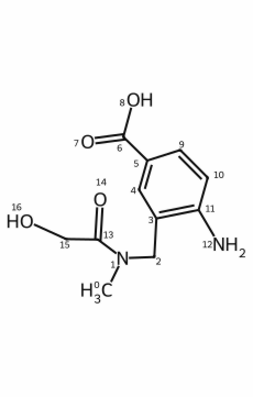 CN(Cc1cc(C(=O)O)ccc1N)C(=O)CO